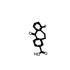 O=C(O)c1ccc2c(c1)CCc1c(F)cccc1C2=O